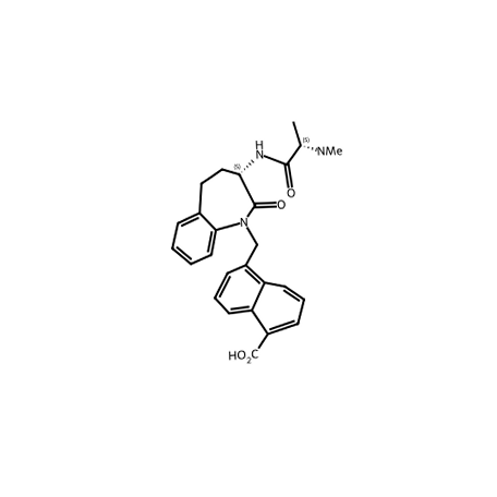 CN[C@@H](C)C(=O)N[C@H]1CCc2ccccc2N(Cc2cccc3c(C(=O)O)cccc23)C1=O